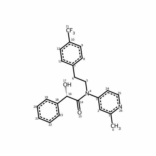 Cc1cc(N(CCc2ccc(C(F)(F)F)cc2)C(=O)[C@@H](O)c2ccccc2)ccn1